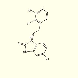 O=C1Nc2cc(Cl)ccc2/C1=C\Cc1ccnc(Cl)c1F